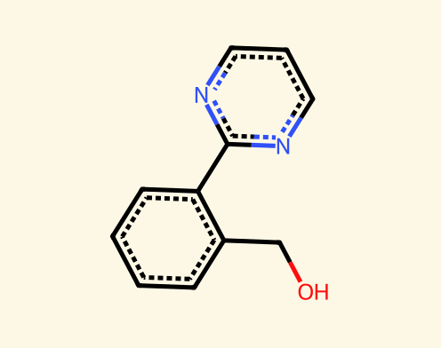 OCc1ccccc1-c1ncccn1